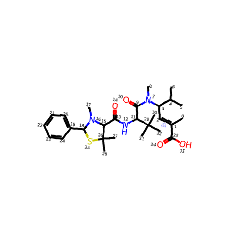 C/C(=C\C(C(C)C)N(C)C(=O)C(NC(=O)C1N(C)C(c2ccccc2)SC1(C)C)C(C)(C)C)C(=O)O